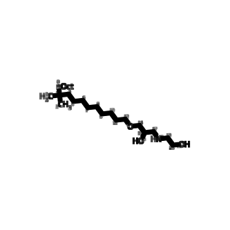 CCCCCCCCC(C)(C)CCCCCCCCCOCC(O)CNCCO